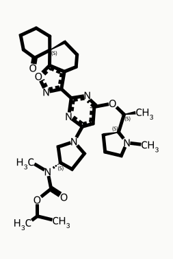 CC(C)OC(=O)N(C)[C@H]1CCN(c2cc(O[C@@H](C)[C@@H]3CCCN3C)nc(-c3noc4c3CCC[C@@]43CCCCC3=O)n2)C1